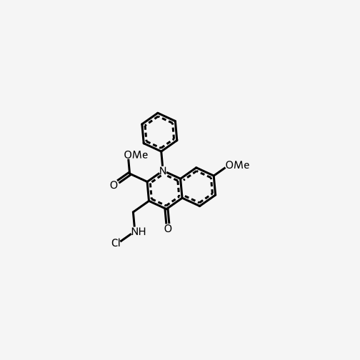 COC(=O)c1c(CNCl)c(=O)c2ccc(OC)cc2n1-c1ccccc1